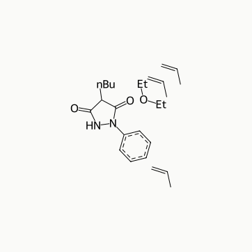 C=CC.C=CC.C=CC.CCCCC1C(=O)NN(c2ccccc2)C1=O.CCOCC